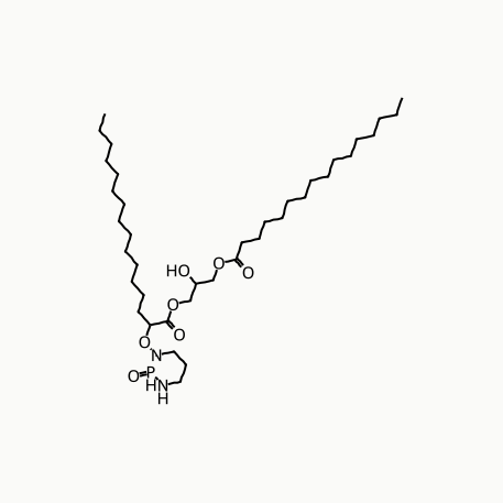 CCCCCCCCCCCCCCCC(=O)OCC(O)COC(=O)C(CCCCCCCCCCCCCC)ON1CCCN[PH]1=O